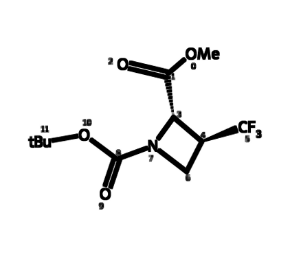 COC(=O)[C@@H]1[C@@H](C(F)(F)F)CN1C(=O)OC(C)(C)C